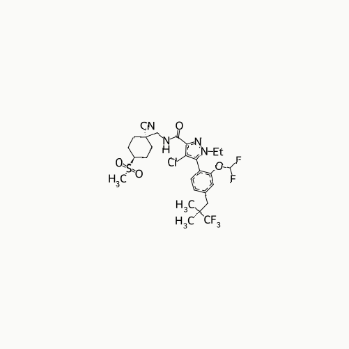 CCn1nc(C(=O)NC[C@]2(C#N)CC[C@H](S(C)(=O)=O)CC2)c(Cl)c1-c1ccc(CC(C)(C)C(F)(F)F)cc1OC(F)F